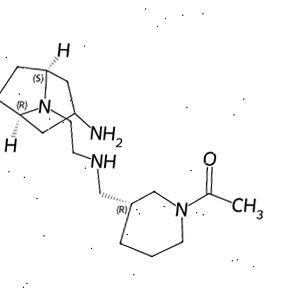 CC(=O)N1CCC[C@H](CNCCN2[C@@H]3CC[C@H]2CC(N)C3)C1